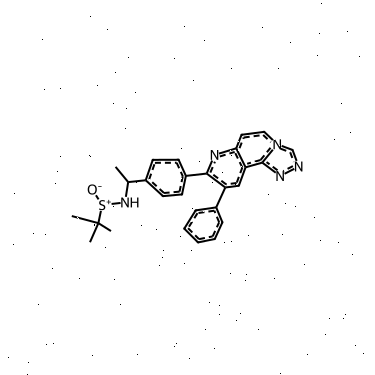 CC(N[S+]([O-])C(C)(C)C)c1ccc(-c2nc3ccn4cnnc4c3cc2-c2ccccc2)cc1